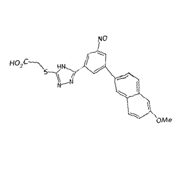 COc1ccc2cc(-c3cc(N=O)cc(-c4nnc(SCC(=O)O)[nH]4)c3)ccc2c1